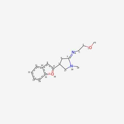 COCCN=C1CC(c2cc3ccccc3o2)CN1C